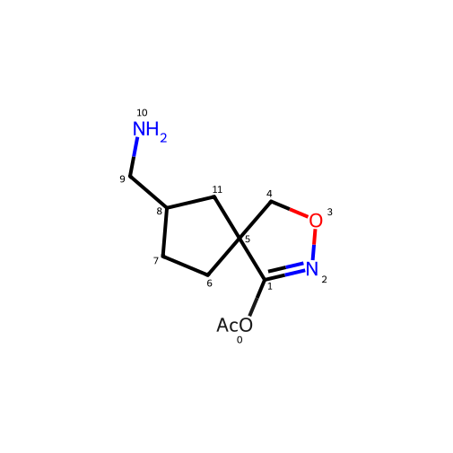 CC(=O)OC1=NOCC12CCC(CN)C2